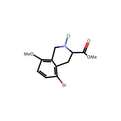 COC(=O)C1Cc2c(Br)ccc(OC)c2CN1Cl